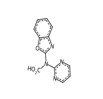 O=C(O)N(c1ncccn1)c1nc2ccccc2o1